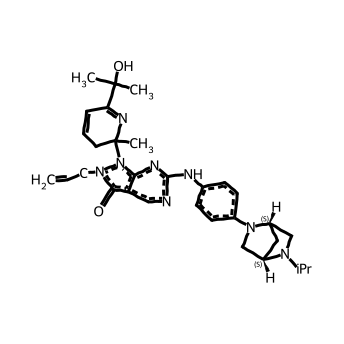 C=CCn1c(=O)c2cnc(Nc3ccc(N4C[C@@H]5C[C@H]4CN5C(C)C)cc3)nc2n1C1(C)CC=CC(C(C)(C)O)=N1